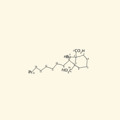 CCCCC1(C(=O)O)CCCCC1(CCCCCCCC(C)C)C(=O)O